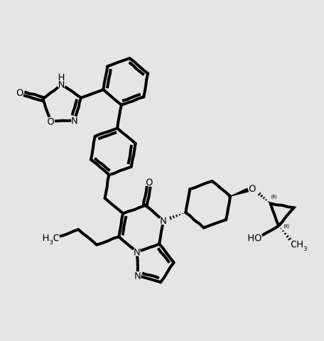 CCCc1c(Cc2ccc(-c3ccccc3-c3noc(=O)[nH]3)cc2)c(=O)n([C@H]2CC[C@H](O[C@@H]3C[C@@]3(C)O)CC2)c2ccnn12